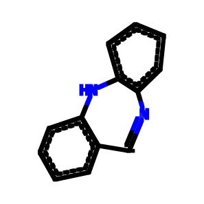 [C]1=Nc2ccccc2Nc2ccccc21